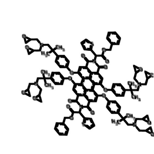 CC(C)(CN(CC1CO1)CC1CO1)c1ccc(Oc2cc3c4c(cc(Oc5ccc(C(C)(C)CN(CC6CO6)CC6CO6)cc5)c5c6c(Oc7ccc(C(C)(C)CN(CC8CO8)CC8CO8)cc7)cc7c8c(cc(Oc9ccc(C(C)(C)CN(CC%10CO%10)CC%10CO%10)cc9)c(c2c45)c86)C(=O)N(C(C(=O)OCc2ccccc2)c2cccs2)C7=O)C(=O)N(C(C(=O)OCc2ccccc2)c2cccs2)C3=O)cc1